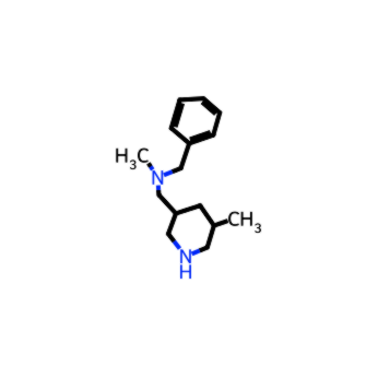 CC1CNCC(CN(C)Cc2ccccc2)C1